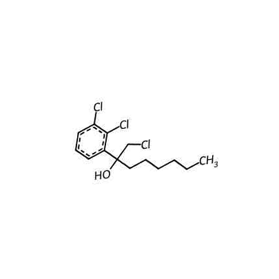 CCCCCCC(O)(CCl)c1cccc(Cl)c1Cl